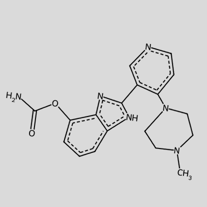 CN1CCN(c2ccncc2-c2nc3c(OC(N)=O)cccc3[nH]2)CC1